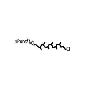 CCCCCOCOCCCC(C)CC(C)CC(C)CC(C)CC(C)CC(C)CCCCl